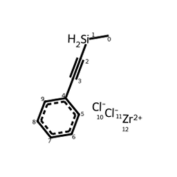 C[SiH2]C#Cc1ccccc1.[Cl-].[Cl-].[Zr+2]